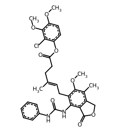 COc1ccc(OC(=O)CC/C(C)=C/Cc2c(NC(=O)Nc3ccccc3)c3c(c(C)c2OC)COC3=O)c(Cl)c1OC